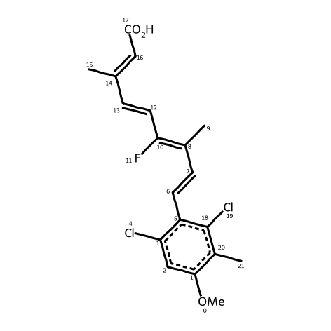 COc1cc(Cl)c(C=CC(C)=C(F)C=CC(C)=CC(=O)O)c(Cl)c1C